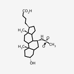 C[C@]12CC[C@@H](O)CC1C[C@H](NS(C)(=O)=O)C1C2CC[C@@]2(C)C1CC[C@@H]2CCCC(=O)O